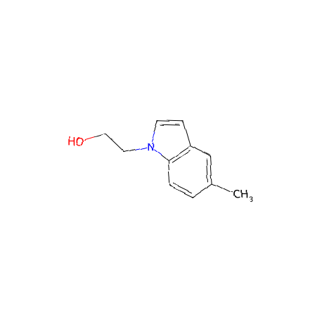 Cc1ccc2c(ccn2CCO)c1